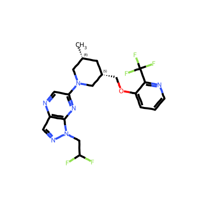 C[C@@H]1C[C@H](COc2cccnc2C(F)(F)F)CN(c2cnc3cnn(CC(F)F)c3n2)C1